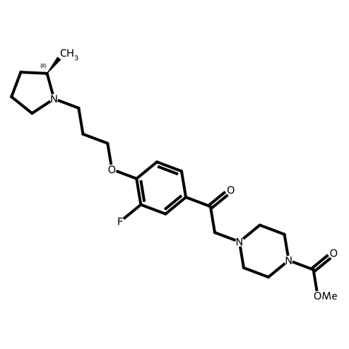 COC(=O)N1CCN(CC(=O)c2ccc(OCCCN3CCC[C@H]3C)c(F)c2)CC1